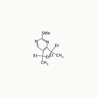 CCC(C)(CC)c1cnc(SC)nc1C(C)(CC)CC